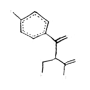 O=C(O)C(CF)C(=O)c1ccc(F)cc1